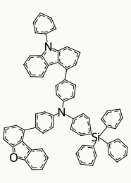 c1ccc(-n2c3ccccc3c3c(-c4ccc(N(c5ccc(-c6cccc7oc8ccccc8c67)cc5)c5ccc([Si](c6ccccc6)(c6ccccc6)c6ccccc6)cc5)cc4)cccc32)cc1